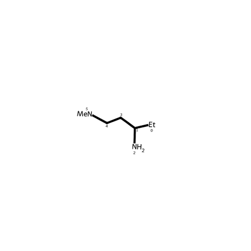 CCC(N)CCNC